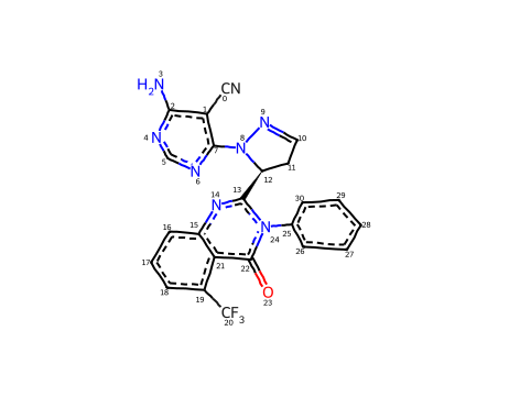 N#Cc1c(N)ncnc1N1N=CC[C@H]1c1nc2cccc(C(F)(F)F)c2c(=O)n1-c1ccccc1